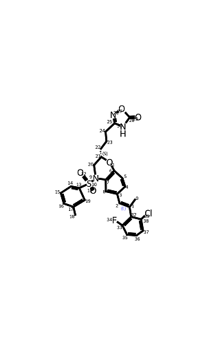 C/C(=C\c1ccc2c(c1)N(S(=O)(=O)c1cccc(C)c1)C[C@H](CCCc1noc(=O)[nH]1)O2)c1c(F)cccc1Cl